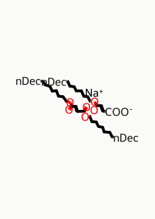 CCCCCCCCCCCCCCCCCCOC(=O)/C=C/C(=O)OCCCCCCCCCCCCCCCCCC.CCCCCCCCCCCCCCCCCCOC(=O)/C=C/C(=O)[O-].[Na+]